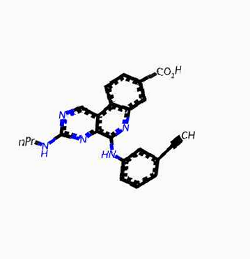 C#Cc1cccc(Nc2nc3cc(C(=O)O)ccc3c3cnc(NCCC)nc23)c1